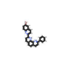 Brc1ccc2nc(-c3ccc4ccc5ccc(-c6ccccc6)nc5c4n3)ccc2c1